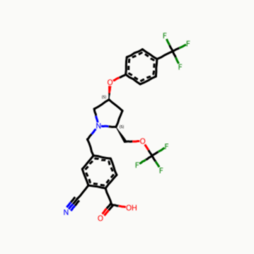 N#Cc1cc(CN2C[C@@H](Oc3ccc(C(F)(F)F)cc3)C[C@H]2COC(F)(F)F)ccc1C(=O)O